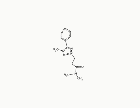 Cc1cn(CCC(=O)N(C)C)nc1-c1ccccc1